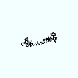 CN(CCCCCCCCCN1CCC(OC(=O)Nc2ccccc2-c2ccccc2)CC1)C(=O)c1cc(Cl)cc(Cl)c1O